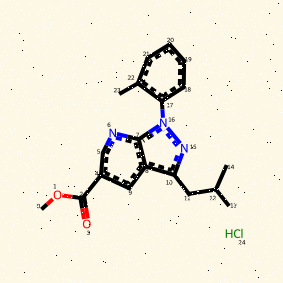 COC(=O)c1cnc2c(c1)c(CC(C)C)nn2-c1ccccc1C.Cl